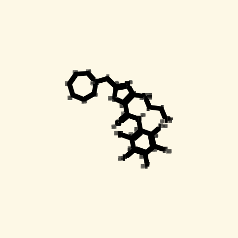 CC(C)CCNc1nc(CN2CCCCCC2)sc1C(=O)Oc1c(F)c(F)c(F)c(F)c1F